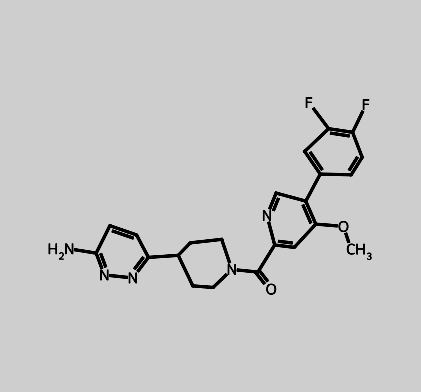 COc1cc(C(=O)N2CCC(c3ccc(N)nn3)CC2)ncc1-c1ccc(F)c(F)c1